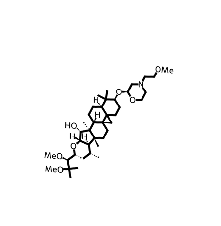 COCCN1CCO[C@@H](O[C@H]2CCC34C[C@]35CC[C@]3(C)[C@@H]6[C@H](O[C@@H]([C@H](OC)C(C)(C)OC)C[C@H]6C)[C@H](O)[C@@]3(C)[C@@H]5CC[C@H]4C2(C)C)C1